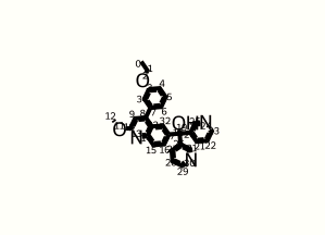 CCOc1cccc(-c2cc(OC)nc3ccc(C(O)(c4cccnc4)c4cccnc4)cc23)c1